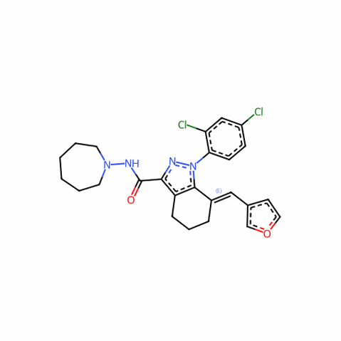 O=C(NN1CCCCCC1)c1nn(-c2ccc(Cl)cc2Cl)c2c1CCC/C2=C\c1ccoc1